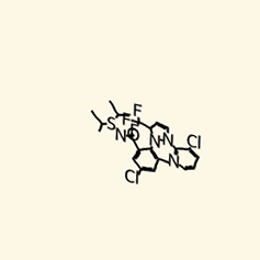 Cc1cc(Cl)cc(C(=O)N=S(C(C)C)C(C)C)c1N1C(C(F)(F)F)C=CN1c1ncccc1Cl